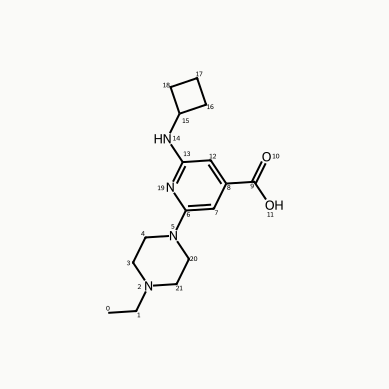 CCN1CCN(c2cc(C(=O)O)cc(NC3CCC3)n2)CC1